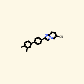 Cc1ccc(-c2ccc(-c3cn4cc(C#N)ccc4n3)cc2)cc1C